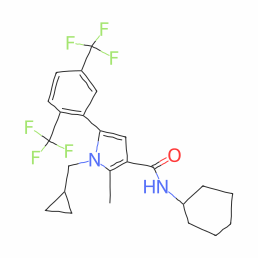 Cc1c(C(=O)NC2CCCCC2)cc(-c2cc(C(F)(F)F)ccc2C(F)(F)F)n1CC1CC1